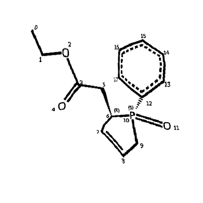 CCOC(=O)C[C@@H]1C=CC[P@@]1(=O)c1ccccc1